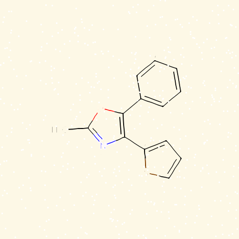 Cc1nc(-c2cccs2)c(-c2ccccc2)o1